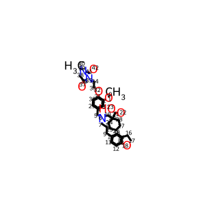 COc1cc(CN(CCCc2ccc3c(c2)CCO3)CC2(C(=O)O)CCCCC2)ccc1OCCN1C(=O)CN(C)C1=O